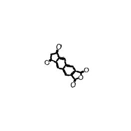 O=C1CC(=O)c2cc3cc4c(cc3cc21)C(=O)OC4=O